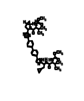 COC(=O)N[C@H](C(=O)NC(CC1CC1)c1ncc(-c2ccc(-c3ccc(-c4cnc(C5C[C@@H]6C[C@@H]6N5C(=O)[C@@H](NC(=O)OC)C(C)C)[nH]4)cc3)cc2)[nH]1)C(C)C